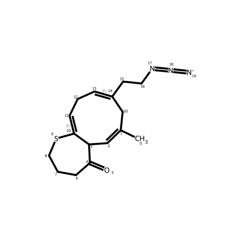 CC1=CC2C(=O)CCCS/C2=C/C/C=C(/CCN=[N+]=[N-])C1